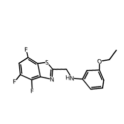 CCOc1cccc(NCc2nc3c(F)c(F)cc(F)c3s2)c1